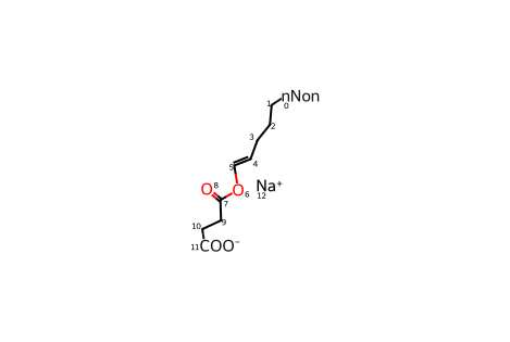 CCCCCCCCCCCC/C=C/OC(=O)CCC(=O)[O-].[Na+]